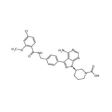 COc1cc(Cl)ccc1C(=O)NCc1ccc(-c2nn([C@@H]3CCCN(C(=O)O)C3)c3ncnc(N)c23)cc1